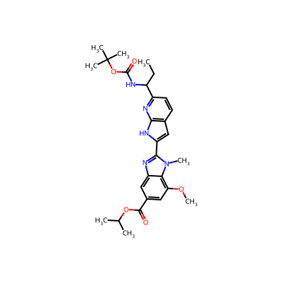 CCC(NC(=O)OC(C)(C)C)c1ccc2cc(-c3nc4cc(C(=O)OC(C)C)cc(OC)c4n3C)[nH]c2n1